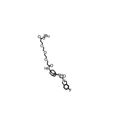 CC(C)(C)OC(=O)CCOCCOCCOCCC(=O)NC12CC3CC(C1)C(NCC(=O)N1Cc4ccc(F)cc4C1)(C3)C2